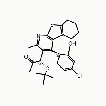 CC(=O)[C@@H](OC(C)(C)C)c1c(C)nc2sc3c(c2c1[C@@H]1CC=C(Cl)C=C1O)CCCC3